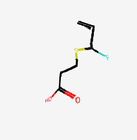 C=CC(F)SCCC(=O)O